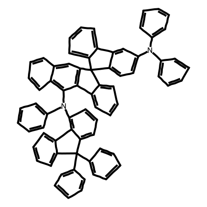 c1ccc(N(c2ccccc2)c2ccc3c(c2)-c2ccccc2C32c3ccccc3-c3c2cc2ccccc2c3N(c2ccccc2)c2cccc3c2-c2ccccc2C3(c2ccccc2)c2ccccc2)cc1